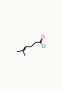 CC(C)=CCCC(=O)Cl